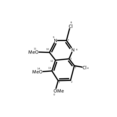 COc1cc(Cl)c2nc(Cl)nc(OC)c2c1OC